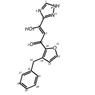 O=C(C=C(O)c1nc[nH]n1)c1occc1Cc1ccccc1